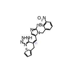 CCCCc1ncc(/C=C(/Cc2cccs2)c2nnn[nH]2)n1Cc1cccc([N+](=O)[O-])c1